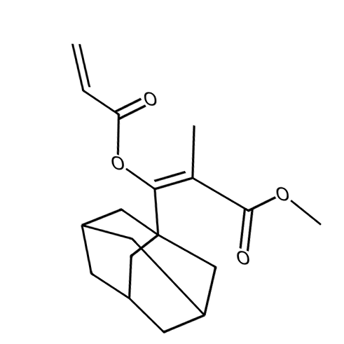 C=CC(=O)OC(=C(C)C(=O)OC)C12CC3CC(CC(C3)C1)C2